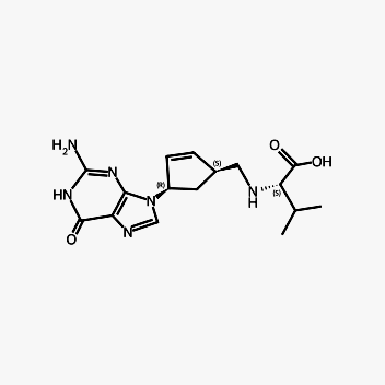 CC(C)[C@H](NC[C@@H]1C=C[C@H](n2cnc3c(=O)[nH]c(N)nc32)C1)C(=O)O